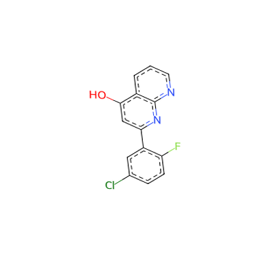 Oc1cc(-c2cc(Cl)ccc2F)nc2ncccc12